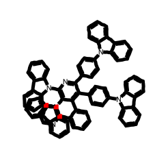 c1ccc(-c2ccccc2-c2c(-c3ccc(-n4c5ccccc5c5ccccc54)cc3)c(-c3ccc(-n4c5ccccc5c5ccccc54)cc3)nc(-n3c4ccccc4c4ccccc43)c2-n2c3ccccc3c3ccccc32)nc1